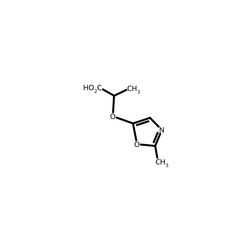 Cc1ncc(OC(C)C(=O)O)o1